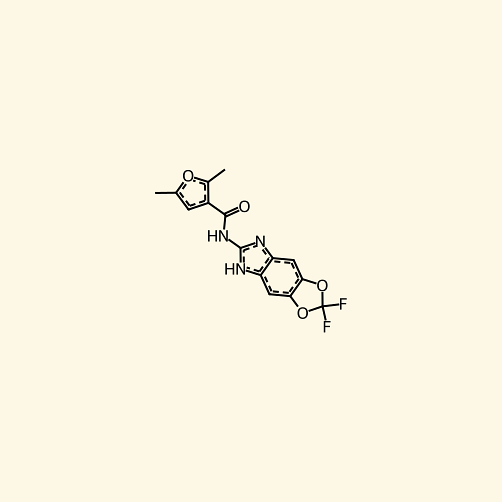 Cc1cc(C(=O)Nc2nc3cc4c(cc3[nH]2)OC(F)(F)O4)c(C)o1